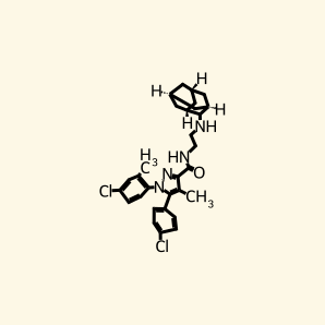 Cc1cc(Cl)ccc1-n1nc(C(=O)NCCNC2[C@H]3C[C@@H]4C[C@@H](C[C@H]2C4)C3)c(C)c1-c1ccc(Cl)cc1